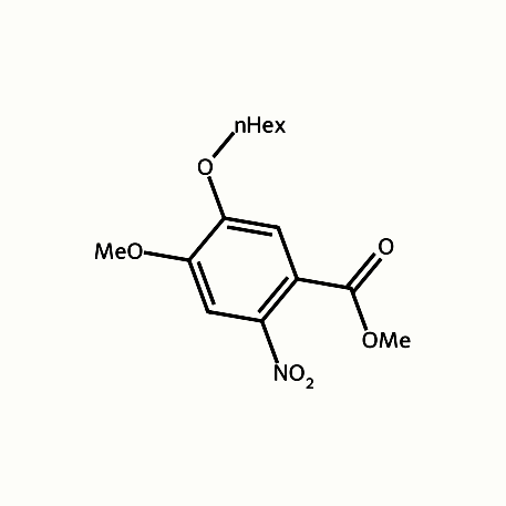 CCCCCCOc1cc(C(=O)OC)c([N+](=O)[O-])cc1OC